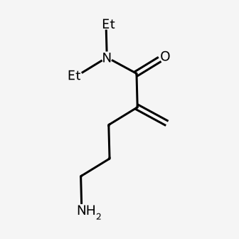 C=C(CCCN)C(=O)N(CC)CC